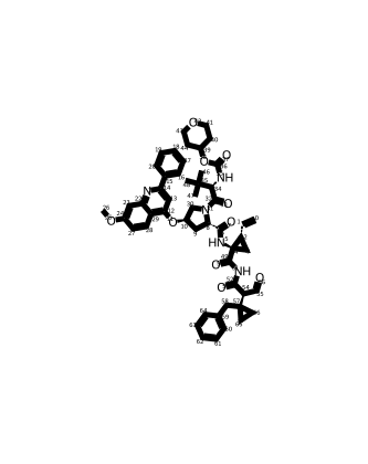 C=C[C@@H]1C[C@]1(NC(=O)[C@@H]1C[C@@H](Oc2cc(-c3ccccc3)nc3cc(OC)ccc23)CN1C(=O)[C@@H](NC(=O)OC1CCOCC1)C(C)(C)C)C(=O)NC(=O)[C@@H](C=O)C1(Cc2ccccc2)CC1